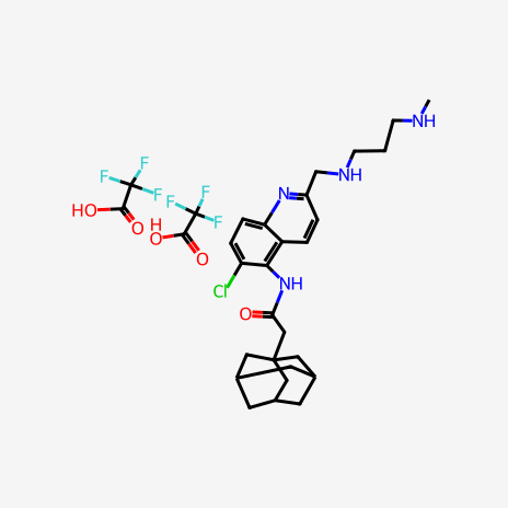 CNCCCNCc1ccc2c(NC(=O)CC34CC5CC(CC(C5)C3)C4)c(Cl)ccc2n1.O=C(O)C(F)(F)F.O=C(O)C(F)(F)F